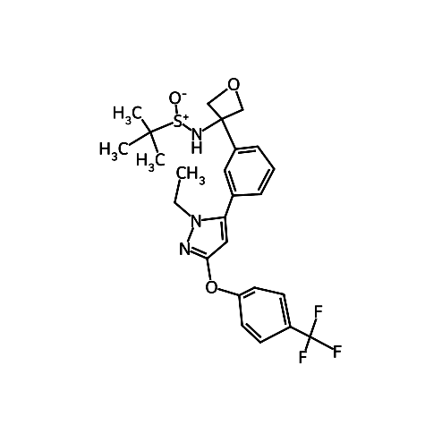 CCn1nc(Oc2ccc(C(F)(F)F)cc2)cc1-c1cccc(C2(N[S+]([O-])C(C)(C)C)COC2)c1